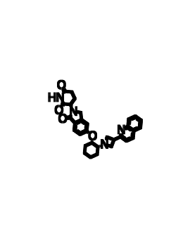 O=C1CCC(N2Cc3cc(O[C@H]4CCCC[C@H]4N4CC(c5ccc6ccccc6n5)C4)ccc3C2=O)C(=O)N1